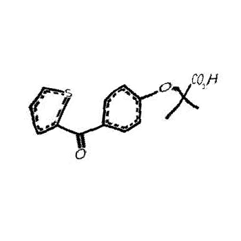 CC(C)(Oc1ccc(C(=O)c2cccs2)cc1)C(=O)O